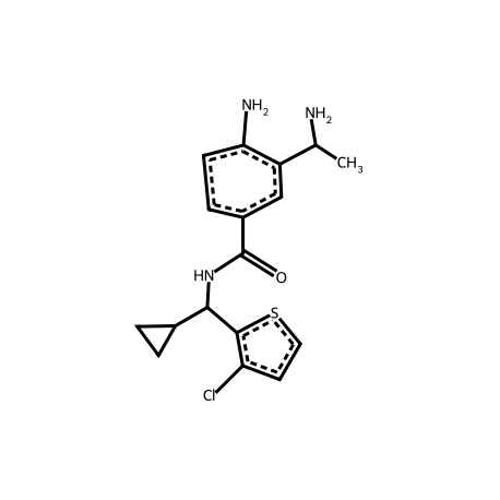 CC(N)c1cc(C(=O)NC(c2sccc2Cl)C2CC2)ccc1N